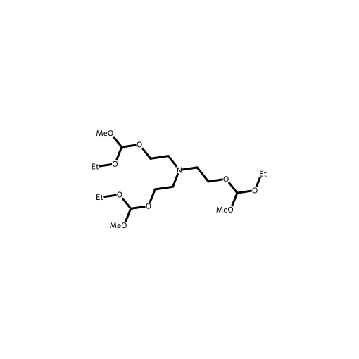 CCOC(OC)OCCN(CCOC(OC)OCC)CCOC(OC)OCC